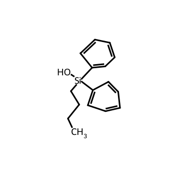 CCCC[Si](O)(c1ccccc1)c1ccccc1